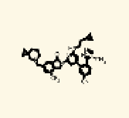 Cn1cnnc1-c1ccc(C#N)cc1-c1cc(NCCC2CC2)nc(N2Cc3c(cc(CN4CCCC5(CC5)C4)cc3C(F)(F)F)C2=O)c1